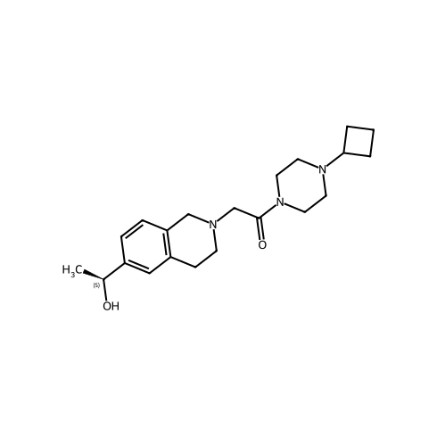 C[C@H](O)c1ccc2c(c1)CCN(CC(=O)N1CCN(C3CCC3)CC1)C2